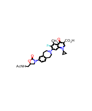 CC(=O)NCC1CN(c2ccc3c(c2)CCN(c2cc4c(c(C)c2F)c(=O)c(C(=O)O)cn4C2CC2)CC3)C(=O)O1